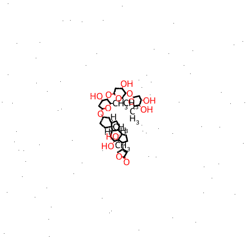 C[C@H]1O[C@@H](O[C@H]2[C@@H](O)C[C@H](O[C@H]3[C@@H](O)C[C@H](O[C@H]4CC[C@@]5(C)[C@H](CC[C@@H]6[C@@H]5C[C@@H](O)[C@]5(C)[C@H](C7=CC(=O)OC7)CC[C@]65O)C4)O[C@@H]3C)O[C@@H]2C)C[C@H](O)[C@@H]1O